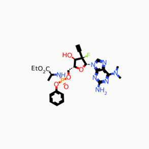 C#C[C@@]1(F)[C@H](O)[C@@H](COP(=O)(N[C@@H](C)C(=O)OCC)Oc2ccccc2)O[C@H]1n1cnc2c(N(C)C)nc(N)nc21